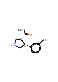 COC(=O)[C@H]1CNC[C@H]1c1cccc(C(C)C)c1